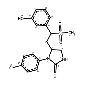 CS(=O)(=O)C(CC1CNC(=O)N1c1ccc(Cl)cc1)c1cccc(O)c1